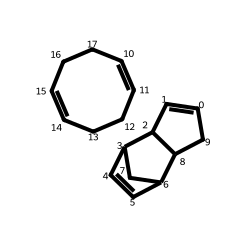 C1=CC2C3C=CC(C3)C2C1.C1=C\CC/C=C\CC/1